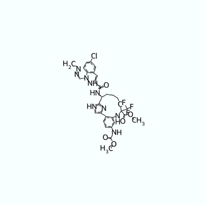 C=N/N=C\N(N)c1ccc(Cl)cc1/C=C/C(=O)N[C@H]1CCCCC(C(=O)OC)(C(F)(F)F)Nc2cc(NC(=O)OC)ccc2-c2c[nH]c1n2